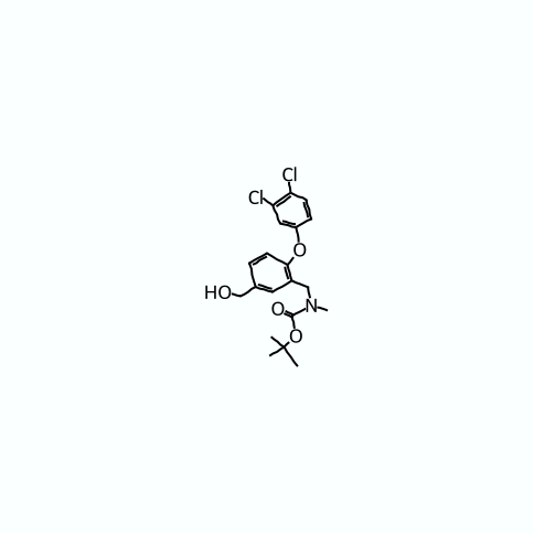 CN(Cc1cc(CO)ccc1Oc1ccc(Cl)c(Cl)c1)C(=O)OC(C)(C)C